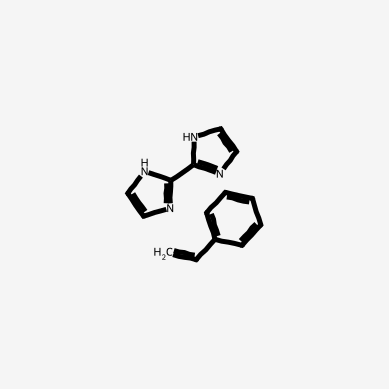 C=Cc1ccccc1.c1c[nH]c(-c2ncc[nH]2)n1